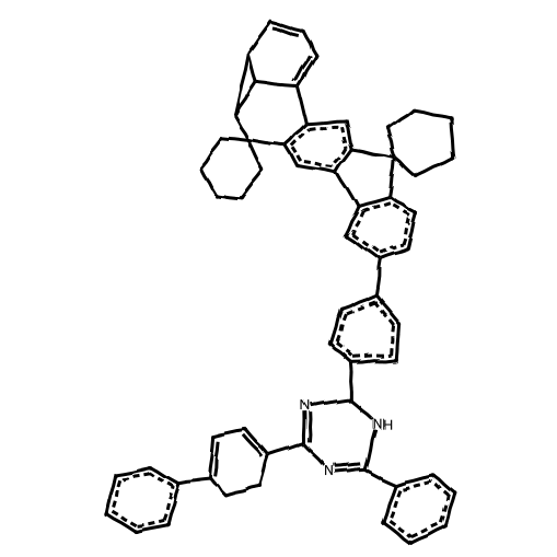 C1=CC2C3C(=C1)c1cc4c(cc1C1(CCCCC1)C23)-c1cc(-c2ccc(C3N=C(C5=CC=C(c6ccccc6)CC5)N=C(c5ccccc5)N3)cc2)ccc1C41CCCCC1